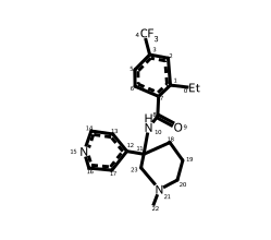 CCc1cc(C(F)(F)F)ccc1C(=O)NC1(c2ccncc2)CCCN(C)C1